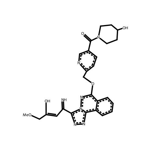 COC/C(O)=C/C(=N)c1nnc2c3ccccc3c(OCc3ccc(C(=O)N4CCC(O)CC4)cn3)nn12